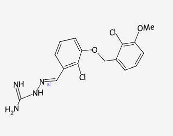 COc1cccc(COc2cccc(/C=N/NC(=N)N)c2Cl)c1Cl